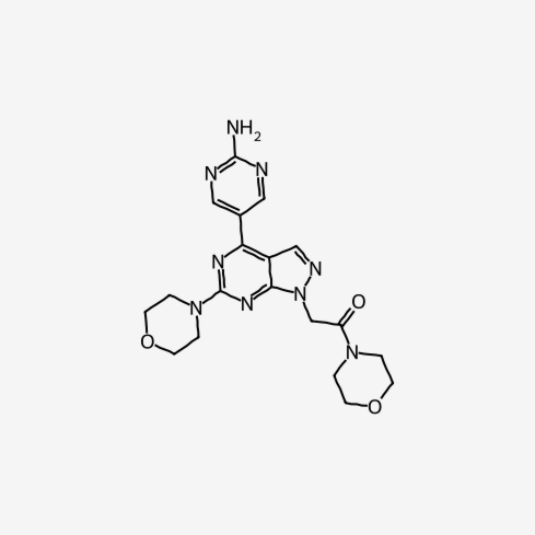 Nc1ncc(-c2nc(N3CCOCC3)nc3c2cnn3CC(=O)N2CCOCC2)cn1